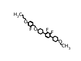 C=CCCOc1ccc(COC2CCC(c3ccc(C4CCC(OCC)CC4)c(F)c3F)CC2)c(F)c1